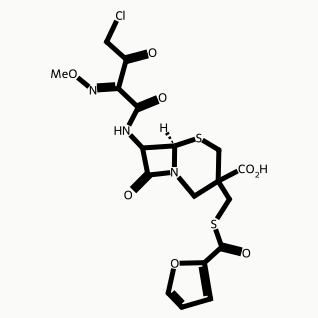 CON=C(C(=O)CCl)C(=O)NC1C(=O)N2CC(CSC(=O)c3ccco3)(C(=O)O)CS[C@H]12